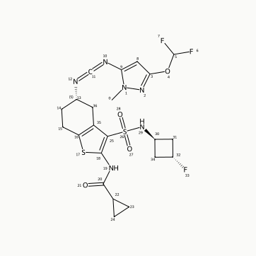 Cn1nc(OC(F)F)cc1N=C=N[C@H]1CCc2sc(NC(=O)C3CC3)c(S(=O)(=O)N[C@H]3C[C@H](F)C3)c2C1